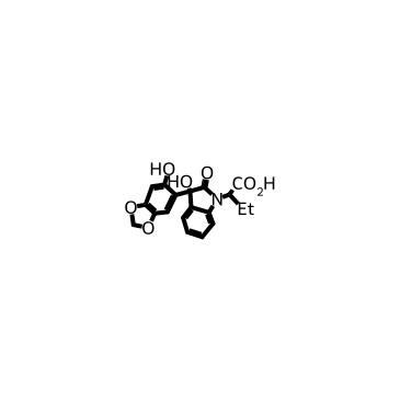 CCC(C(=O)O)N1C(=O)C(O)(c2cc3c(cc2O)OCO3)c2ccccc21